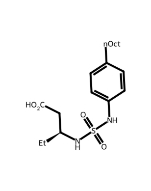 CCCCCCCCc1ccc(NS(=O)(=O)N[C@@H](CC)CC(=O)O)cc1